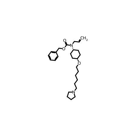 C=CCN(C(=O)OCc1ccccc1)[C@H]1CC[C@H](OCCCCCCN2CCCC2)CC1